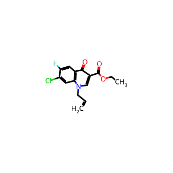 C=CCn1cc(C(=O)OCC)c(=O)c2cc(F)c(Cl)cc21